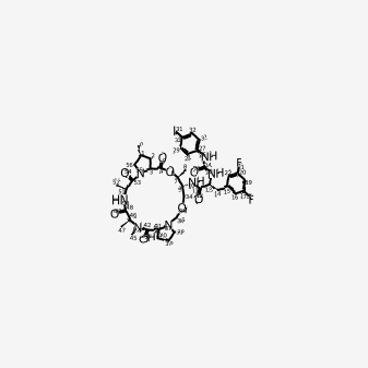 C[C@H]1CC2C(=O)O[C@@H](C)[C@H](NC(=O)[C@H](Cc3cc(F)cc(F)c3)NC(=O)Nc3ccc(I)cc3)COCN3CCC[C@H]3C(=O)N(C)[C@@H](C)C(=O)N[C@@H](C)C(=O)N2C1